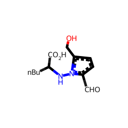 CCCCC(Nn1c(C=O)ccc1CO)C(=O)O